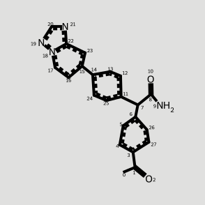 CC(=O)c1ccc(C(C(N)=O)c2ccc(-c3ccn4ncnc4c3)cc2)cc1